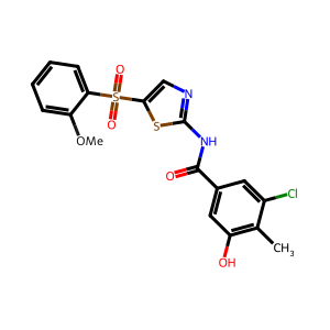 COc1ccccc1S(=O)(=O)c1cnc(NC(=O)c2cc(O)c(C)c(Cl)c2)s1